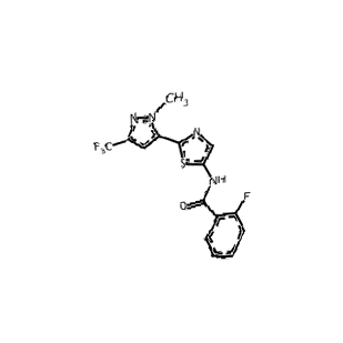 Cn1nc(C(F)(F)F)cc1-c1ncc(NC(=O)c2ccccc2F)s1